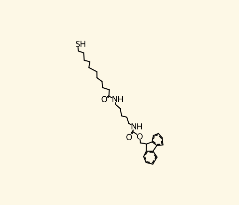 O=C(CCCCCCCCCCS)NCCCCCNC(=O)OCC1c2ccccc2-c2ccccc21